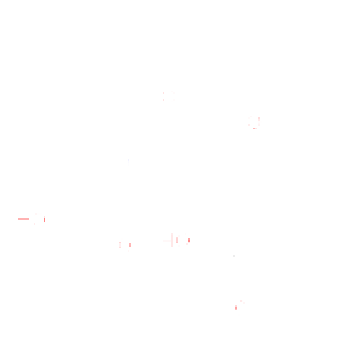 C=C(C)C(=O)O.C=CC(=O)O/C=C(\C)C(=O)O